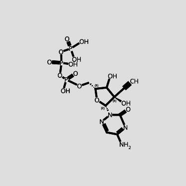 C#C[C@@]1(O)C(O)[C@@H](COP(=O)(O)OP(=O)(O)OP(=O)(O)O)O[C@H]1n1ncc(N)nc1=O